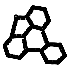 c1ccc2c(c1)c1cccc3oc4cccc2c4c31